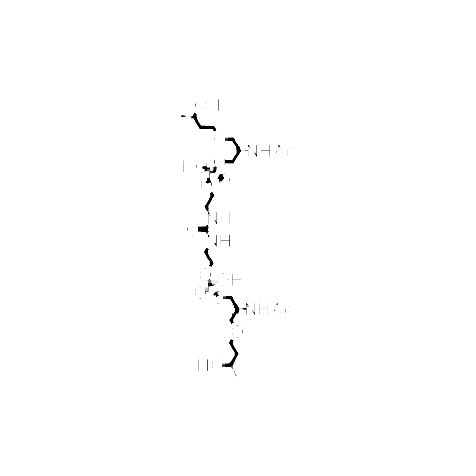 CC(=O)N[C@@H](COCC[C@@H](C)O)COP(=O)(O)OCCNC(=O)NCCOP(=O)(O)OC[C@H](COCC[C@@H](C)O)NC(C)=O